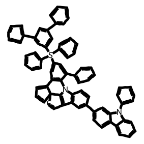 C1=CC23CC=Cc4c2n(c2ccc(-c5ccc6c7ccccc7n(-c7ccccc7)c6c5)cc42)-c2c(cc(S(c4ccccc4)(c4ccccc4)c4cc(-c5ccccc5)cc(-c5ccccc5)c4)cc2-c2ccccc2)C3=C1